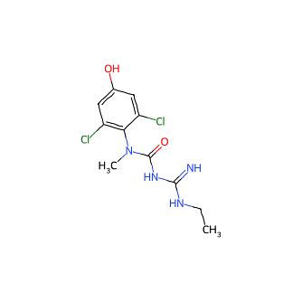 CCNC(=N)NC(=O)N(C)c1c(Cl)cc(O)cc1Cl